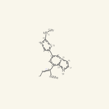 C/C=C(\NC)c1cc(-c2cnc(NC(C)C)s2)cn2ccnc12